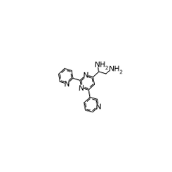 NCC(N)c1cc(-c2cccnc2)nc(-c2ccccn2)n1